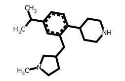 CC(C)c1ccc(C2CCNCC2)c(CC2CCN(C)C2)c1